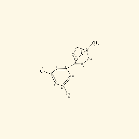 CC12COC(c3cc(Cl)cc(Cl)c3)(OC1)OC2